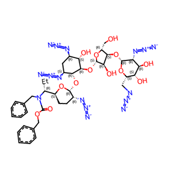 CC[C@H]([C@@H]1CC[C@@H](N=[N+]=[N-])[C@@H](O[C@H]2[C@H](O[C@@H]3O[C@H](CO)[C@@H](O[C@H]4O[C@@H](CN=[N+]=[N-])[C@@H](O)[C@H](O)[C@H]4N=[N+]=[N-])[C@H]3O)[C@@H](O)[C@H](N=[N+]=[N-])C[C@@H]2N=[N+]=[N-])O1)N(Cc1ccccc1)C(=O)OCc1ccccc1